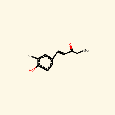 CC(C)(C)CC(=O)C=Cc1ccc(O)c(C(C)(C)C)c1